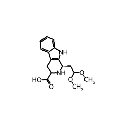 COC(C[C@H]1NC(C(=O)O)Cc2c1[nH]c1ccccc21)OC